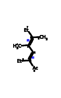 CC/C(=C\C(C)=C(/C)CC)C(C)=O